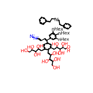 CCCCCCc1cc(C(=CC=C=[N+]=[N-])c2cc(CC(O)C(O)C(O)CO)c(CC(O)C(O)C(O)CO)c(CC(O)C(O)C(O)CO)c2)cc(CCCCCC)c1CCCCCC.c1ccc(C[CH2][Ni][CH2]Cc2ccccc2)cc1